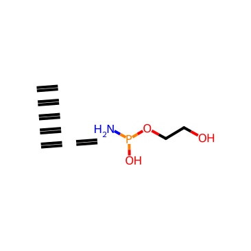 C=C.C=C.C=C.C=C.C=C.C=C.NP(O)OCCO